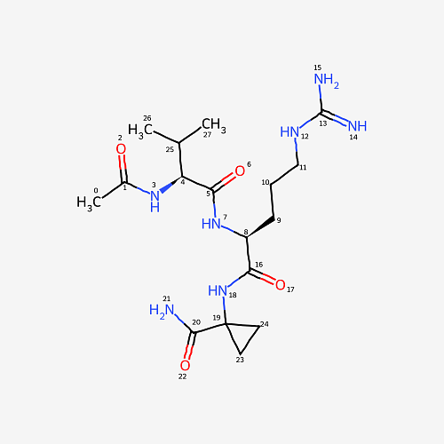 CC(=O)N[C@H](C(=O)N[C@@H](CCCNC(=N)N)C(=O)NC1(C(N)=O)CC1)C(C)C